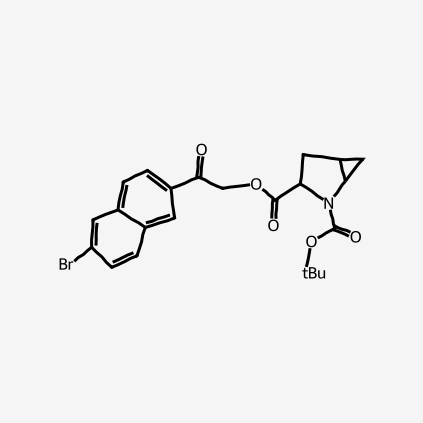 CC(C)(C)OC(=O)N1C(C(=O)OCC(=O)c2ccc3cc(Br)ccc3c2)CC2CC21